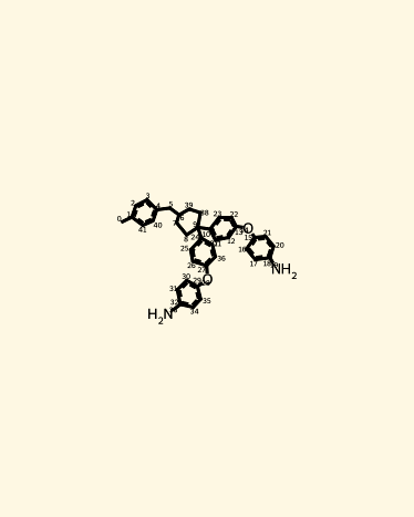 Cc1ccc(CC2CCC(c3ccc(Oc4ccc(N)cc4)cc3)(c3ccc(Oc4ccc(N)cc4)cc3)CC2)cc1